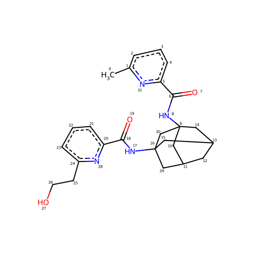 Cc1cccc(C(=O)NC23CC4CC(C2)CC(NC(=O)c2cccc(CCO)n2)(C4)C3)n1